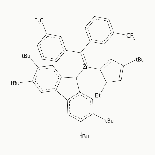 CCC1C=C(C(C)(C)C)C=[C]1[Zr](=[C](c1cccc(C(F)(F)F)c1)c1cccc(C(F)(F)F)c1)[CH]1c2cc(C(C)(C)C)c(C(C)(C)C)cc2-c2cc(C(C)(C)C)c(C(C)(C)C)cc21